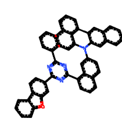 c1ccc(-c2nc(-c3ccc4c(c3)oc3ccccc34)nc(-c3cccc4ccc(N5c6cc7ccccc7cc6-c6cccc7cccc5c67)cc34)n2)cc1